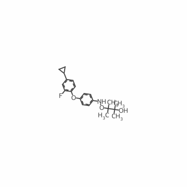 CC(C)(O)C(C)(C)ONc1ccc(Oc2ccc(C3CC3)cc2F)cc1